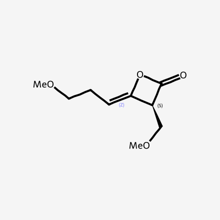 COCC/C=C1\OC(=O)[C@H]1COC